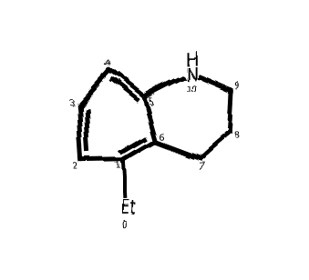 [CH2]Cc1cccc2c1CCCN2